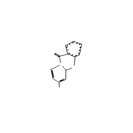 O=C(O)C1=CC2Oc3ccccc3C(=O)N2C=C1